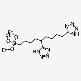 CCO[Si](CCCCC(CCCCc1nnn[nH]1)c1nnn[nH]1)(OCC)OCC